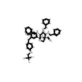 O=C[C@@]12CO[C@@](c3ccc(Cl)c(Cc4ccc(OCC(F)(F)F)cc4)c3)(O1)[C@H](OCc1ccccc1)[C@@H](OCc1ccccc1)[C@@H]2OCc1ccccc1